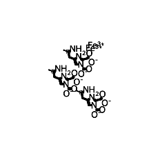 C[C@@H](N)Cc1cn(C(=O)[O-])c(C(=O)[O-])n1.C[C@@H](N)Cc1cn(C(=O)[O-])c(C(=O)[O-])n1.C[C@@H](N)Cc1cn(C(=O)[O-])c(C(=O)[O-])n1.[Fe+3].[Fe+3]